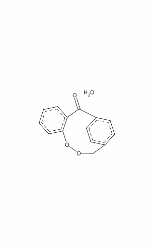 O.O=C1c2ccc(cc2)COOc2ccccc21